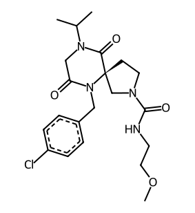 COCCNC(=O)N1CC[C@]2(C1)C(=O)N(C(C)C)CC(=O)N2Cc1ccc(Cl)cc1